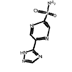 NS(=O)(=O)c1cnc(-c2ncn[nH]2)cn1